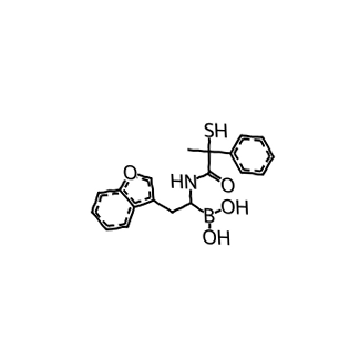 CC(S)(C(=O)NC(Cc1coc2ccccc12)B(O)O)c1ccccc1